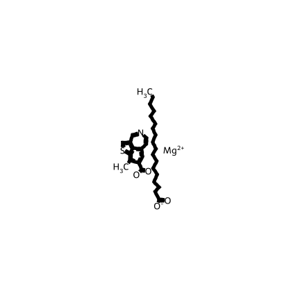 CCCCCCCCCCCCCCCCCC(=O)[O-].Cc1c(C(=O)[O-])cc2c3c(csc13)C=NC=C2.[Mg+2]